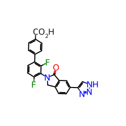 O=C(O)c1ccc(-c2ccc(F)c(N3Cc4ccc(-c5c[nH]nn5)cc4C3=O)c2F)cc1